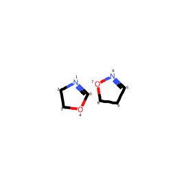 C1=NCCO1.C1=NOCC1